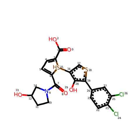 O=C(O)C1=CC=C(C(=O)N2CCC(O)C2)[SH]1c1csc(-c2ccc(Cl)c(Cl)c2)c1O